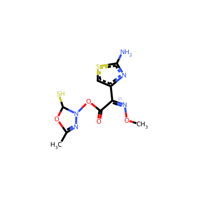 CO/N=C(\C(=O)ON1N=C(C)OC1S)c1csc(N)n1